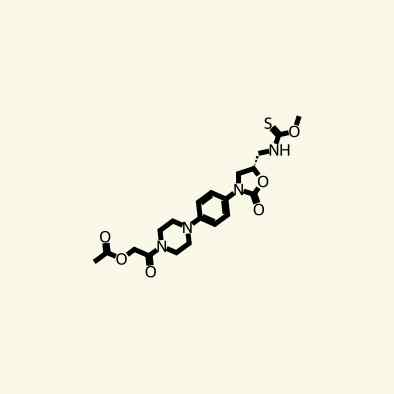 COC(=S)NC[C@H]1CN(c2ccc(N3CCN(C(=O)COC(C)=O)CC3)cc2)C(=O)O1